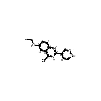 CCOc1ccc2nc(-c3ccnnc3)nc(Cl)c2c1